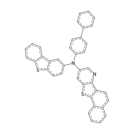 c1ccc(-c2ccc(N(c3cnc4c(c3)sc3c5ccccc5ccc43)c3ccc4sc5ccccc5c4c3)cc2)cc1